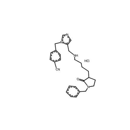 Cl.N#Cc1ccc(Cn2cncc2CNCCCCC2CCN(Cc3ccccc3)C2=O)cc1